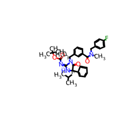 CC(C)C[C@]1(c2ccccc2)N/C(=N/C(=O)OC(C)(C)C)N([C@H](C)c2cccc(C(=O)N(C)Cc3ccc(F)cc3)c2)C1=O